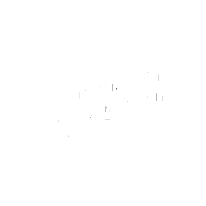 Cc1nc(N[C@@H](CCC(=O)O)C(=O)O)sc1C(O)O